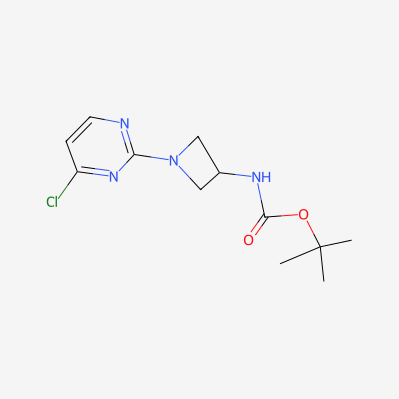 CC(C)(C)OC(=O)NC1CN(c2nccc(Cl)n2)C1